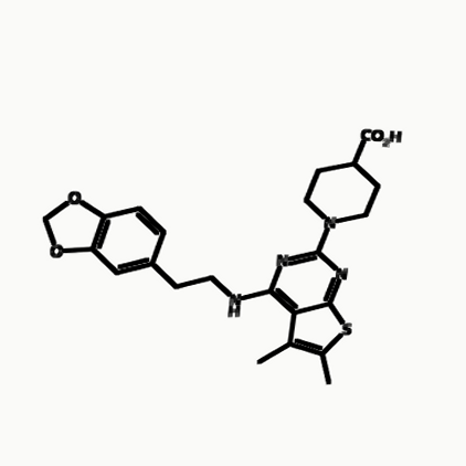 Cc1sc2nc(N3CCC(C(=O)O)CC3)nc(NCCc3ccc4c(c3)OCO4)c2c1C